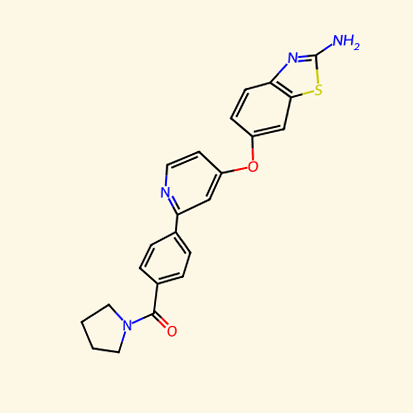 Nc1nc2ccc(Oc3ccnc(-c4ccc(C(=O)N5CCCC5)cc4)c3)cc2s1